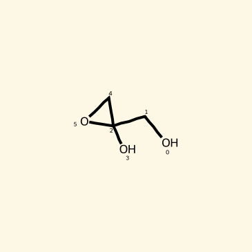 OCC1(O)CO1